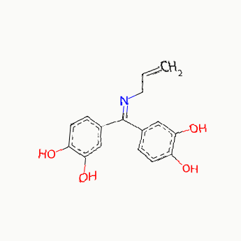 C=CCN=C(c1ccc(O)c(O)c1)c1ccc(O)c(O)c1